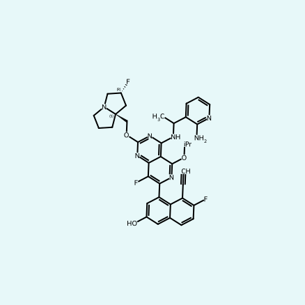 C#Cc1c(F)ccc2cc(O)cc(-c3nc(OC(C)C)c4c(NC(C)c5cccnc5N)nc(OC[C@@]56CCCN5C[C@H](F)C6)nc4c3F)c12